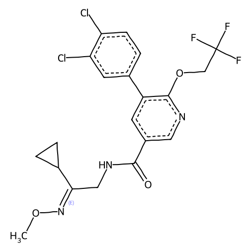 CO/N=C(/CNC(=O)c1cnc(OCC(F)(F)F)c(-c2ccc(Cl)c(Cl)c2)c1)C1CC1